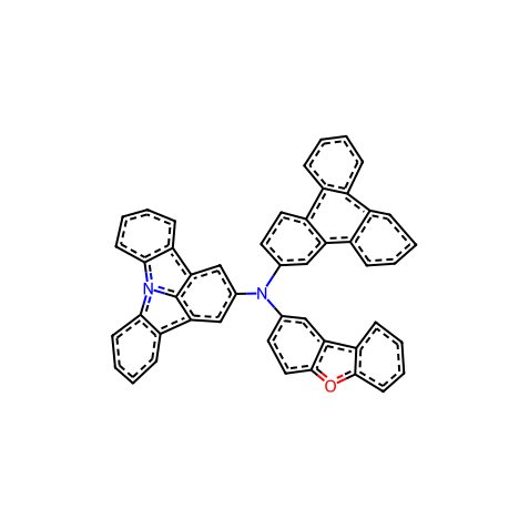 c1ccc2c(c1)oc1ccc(N(c3ccc4c5ccccc5c5ccccc5c4c3)c3cc4c5ccccc5n5c6ccccc6c(c3)c45)cc12